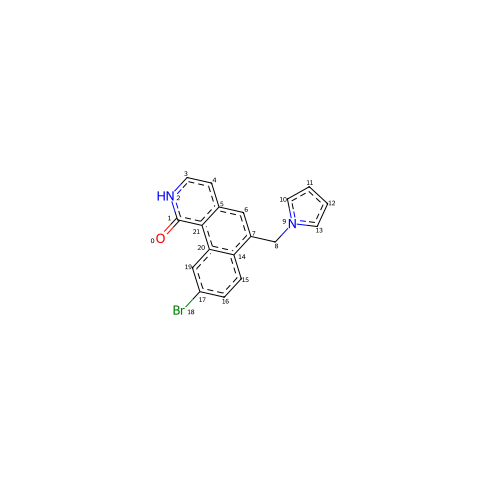 O=c1[nH]ccc2cc(Cn3cccc3)c3ccc(Br)cc3c12